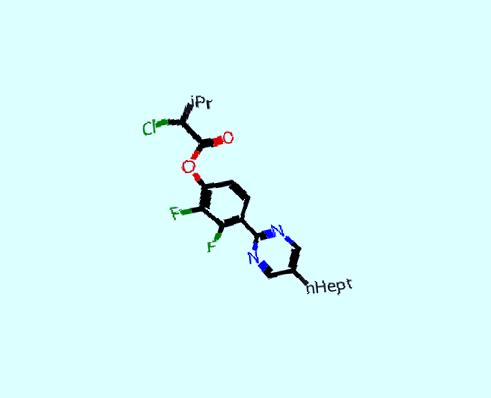 CCCCCCCc1cnc(-c2ccc(OC(=O)C(Cl)C(C)C)c(F)c2F)nc1